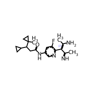 CC(=N)/C(=C(/C)N)c1ncc(NC(=O)CC(C2CC2)C2(C)CC2)cc1F